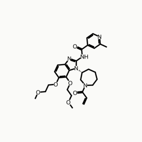 C=CC(=O)N1CCCC[C@@H](n2c(NC(=O)c3ccnc(C)c3)nc3ccc(OCCOC)c(OCCOC)c32)C1